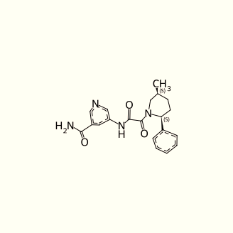 C[C@H]1CC[C@@H](c2ccccc2)N(C(=O)C(=O)Nc2cncc(C(N)=O)c2)C1